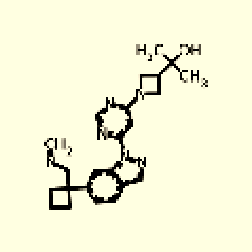 C=NCC1(c2ccc3cnn(-c4cc(N5CC(C(C)(C)O)C5)ncn4)c3c2)CCC1